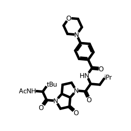 CC(=O)NC(C(=O)N1CC(=O)C2C1CCN2C(=O)C(CC(C)C)NC(=O)c1ccc(N2CCOCC2)cc1)C(C)(C)C